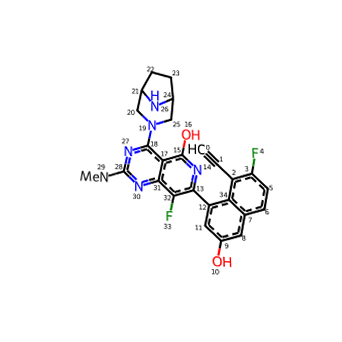 C#Cc1c(F)ccc2cc(O)cc(-c3nc(O)c4c(N5CC6CCC(C5)N6)nc(NC)nc4c3F)c12